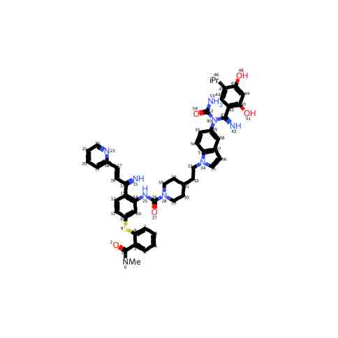 CNC(=O)c1ccccc1Sc1ccc(C(=N)/C=C/c2ccccn2)c(NC(=O)N2CCC(CCn3ccc4cc(N(C(=N)c5cc(C(C)C)c(O)cc5O)C(N)=O)ccc43)CC2)c1